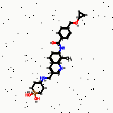 Cc1c(NC(=O)c2ccc(COC3CC3)cc2)ccc2cc(CNC3CCS(O)(O)CC3)cnc12